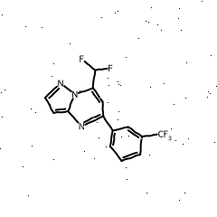 FC(F)c1cc(-c2cccc(C(F)(F)F)c2)nc2ccnn12